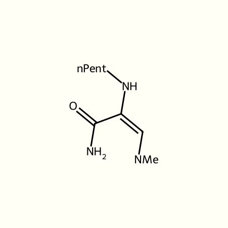 CCCCCNC(=CNC)C(N)=O